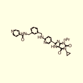 CCCn1c(=O)n(C2CC2)c(=O)c2[nH]c(-c3ccc(NCc4cccc(CNC(=O)c5ccncc5)c4)nc3)nc21